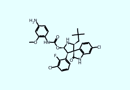 COc1cc(N)ccc1NC(=O)O[C@H]1N[C@@H](CC(C)(C)C)[C@@]2(C(=O)Nc3cc(Cl)ccc32)[C@H]1c1cccc(Cl)c1F